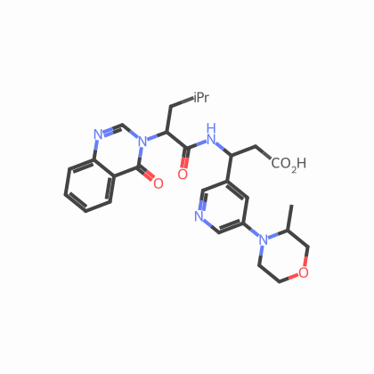 CC(C)CC(C(=O)NC(CC(=O)O)c1cncc(N2CCOCC2C)c1)n1cnc2ccccc2c1=O